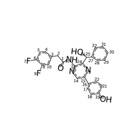 O=C(Cc1ccc(F)c(F)c1)Nc1ncc(-c2ccc(O)cc2)nc1C(O)c1ccccc1